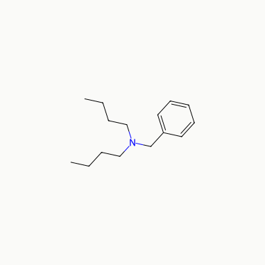 CCCCN(CCCC)Cc1ccccc1